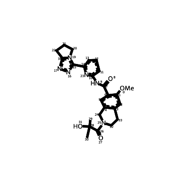 COc1cc2c(cc1C(=O)Nc1cccc(-c3nnc4n3CCC4)n1)CN(C(=O)C(C)(C)O)CC2